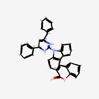 O=c1oc2ccccc2c2c1ccc1c2c2ccccc2n1-c1nc(-c2ccccc2)cc(-c2ccccc2)n1